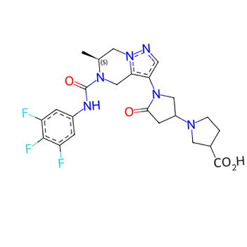 C[C@H]1Cn2ncc(N3CC(N4CCC(C(=O)O)C4)CC3=O)c2CN1C(=O)Nc1cc(F)c(F)c(F)c1